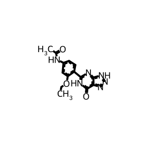 CCOc1cc(NC(C)=O)ccc1-c1nc2[nH]nnc2c(=O)[nH]1